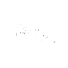 Cc1ccc(C2CSC(NC(=O)C3C=C4C=CC(F)=CN4N3)=C2C(=O)O)c(F)c1F